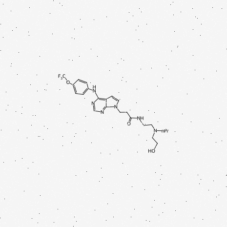 CCCN(CCO)CCNC(=O)CCn1ccc2c(Nc3ccc(OC(F)(F)F)cc3)ncnc21